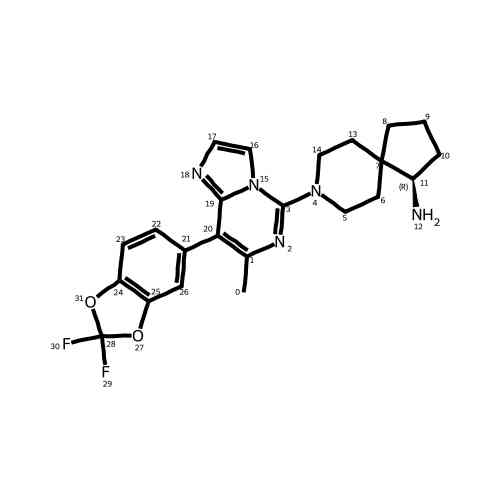 Cc1nc(N2CCC3(CCC[C@H]3N)CC2)n2ccnc2c1-c1ccc2c(c1)OC(F)(F)O2